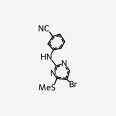 CSc1nc(Nc2cccc(C#N)c2)ncc1Br